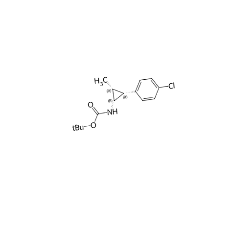 C[C@H]1[C@@H](NC(=O)OC(C)(C)C)[C@H]1c1ccc(Cl)cc1